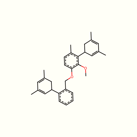 COc1c(OCc2ccccc2C2C=C(C)C=C(C)C2)ccc(C)c1C1C=C(C)C=C(C)C1